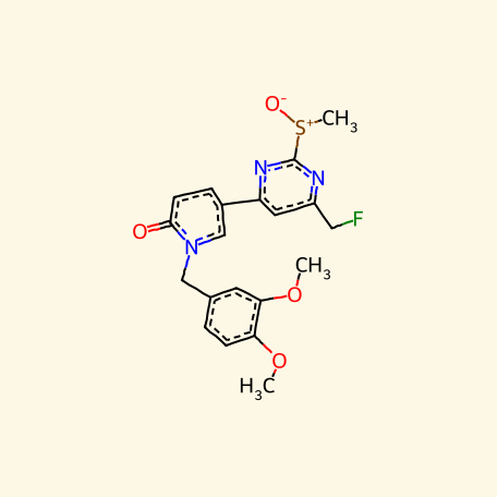 COc1ccc(Cn2cc(-c3cc(CF)nc([S+](C)[O-])n3)ccc2=O)cc1OC